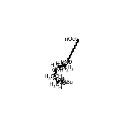 CCCCCCCC/C=C\CCCCCCCCCCCC(=O)NCC(C)(C)OCC(C)(C)CNC(=O)CCC(C)(C)OCCC(C)(C)NC(=O)OC(C)(C)C